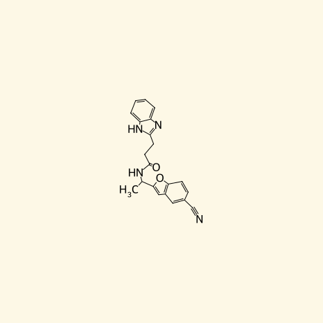 CC(NC(=O)CCc1nc2ccccc2[nH]1)c1cc2cc(C#N)ccc2o1